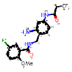 COc1ccc(F)cc1C(=O)NCc1ccc(NC(=O)CC(F)(F)F)cc1N